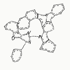 c1ccc(-c2nc(-n3c4ccccc4c4cc5c6ccccc6n6c7ccc8ccccc8c7c(c43)c56)nc3c2oc2ccccc23)cc1